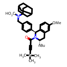 CCCC[C@H]1Cc2cc(OC)ccc2[C@H](c2ccc(CN(C(=O)O)C34CC5CC(CC(C5)C3)C4)cc2)N1C(=O)C#C[Si](C)(C)C